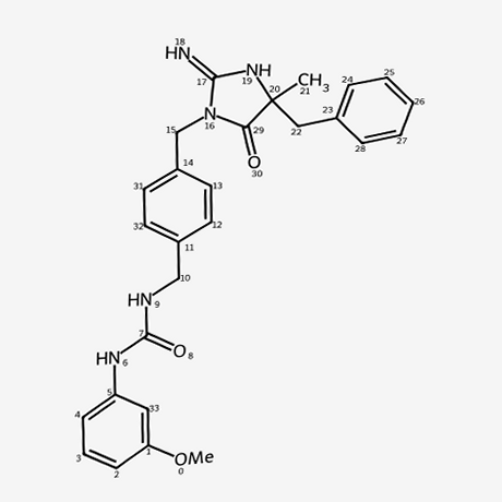 COc1cccc(NC(=O)NCc2ccc(CN3C(=N)NC(C)(Cc4ccccc4)C3=O)cc2)c1